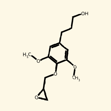 COc1cc(CCCO)cc(OC)c1OCC1CO1